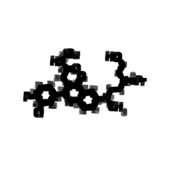 CCCN(CCO)CCN(C)c1ccc2nc(-c3ccc(F)c(Cl)c3)n(CC(=O)NC(C)(C)C)c(=O)c2c1